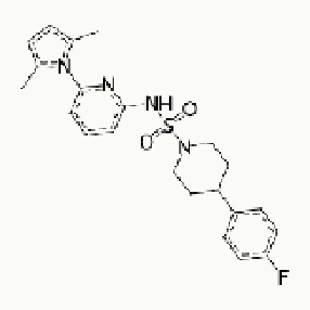 Cc1ccc(C)n1-c1cccc(NS(=O)(=O)N2CCC(c3ccc(F)cc3)CC2)n1